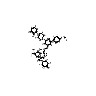 O=C(NCc1cc(-c2ccc(C(F)(F)F)cc2)nc(N2CCN(c3ccccc3F)CC2)c1)[C@@H]1CC(F)(F)CN1S(=O)(=O)c1ccc(F)cc1